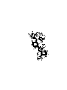 Cn1cnnc1[C@@H](c1cccc(-n2cc3c(C(F)(F)F)cccn3c2=O)c1)C1CCC1